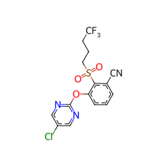 N#Cc1cccc(Oc2ncc(Cl)cn2)c1S(=O)(=O)CCCC(F)(F)F